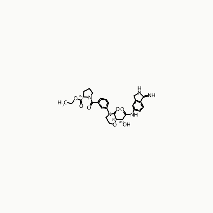 CCOC(=O)[C@@H]1CCCN1C(=O)c1cccc(N2CCO[C@H]([C@@H](O)C(=O)Nc3ccc4c(c3)CNC4=N)C2=O)c1